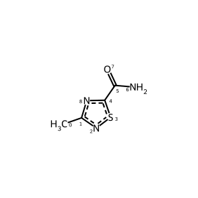 Cc1nsc(C(N)=O)n1